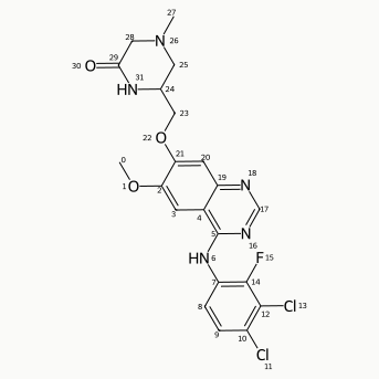 COc1cc2c(Nc3ccc(Cl)c(Cl)c3F)ncnc2cc1OCC1CN(C)CC(=O)N1